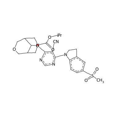 CC(C)OC(=O)N1CC2COCC(C1)C2Oc1ncnc(N2CCc3cc(S(C)(=O)=O)ccc32)c1C#N